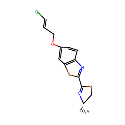 O=C(O)[C@H]1CSC(c2nc3ccc(OC/C=C/Cl)cc3s2)=N1